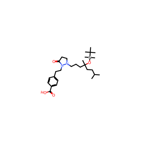 CC(C)CCC(C)(CCCN1CCC(=O)N1CCc1ccc(C(=O)O)cc1)O[Si](C)(C)C(C)(C)C